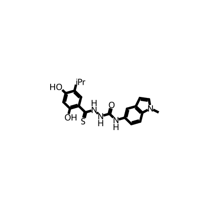 CC(C)c1cc(C(=S)NNC(=O)Nc2ccc3c(ccn3C)c2)c(O)cc1O